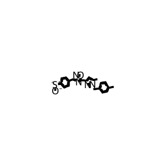 Cc1ccc(Cn2nc(-c3nc(-c4ccc([S+](C)[O-])cc4)no3)cc2C)cc1